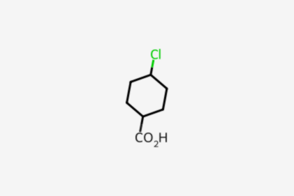 O=C(O)C1CCC(Cl)CC1